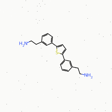 NCCc1cccc(-c2ccc(-c3cccc(CCN)c3)s2)c1